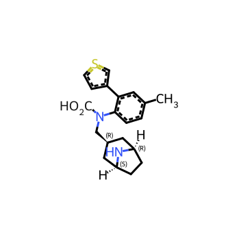 Cc1ccc(N(C[C@H]2C[C@H]3CC[C@@H](C2)N3)C(=O)O)c(-c2ccsc2)c1